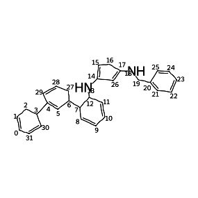 C1=CCC(C2=CC(C3C=CC=CC3NC3=CCC(NCc4ccccc4)=C3)CC=C2)C=C1